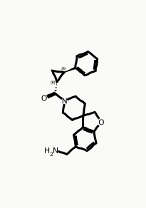 NCc1ccc2c(c1)C1(CCN(C(=O)[C@@H]3C[C@H]3c3ccccc3)CC1)CO2